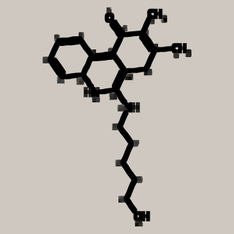 CC1=C(C)C(=O)C2=C3C=CC=CC3NC(NCCCCCO)=C2C1